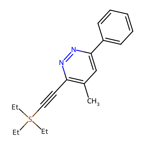 CCS(C#Cc1nnc(-c2ccccc2)cc1C)(CC)CC